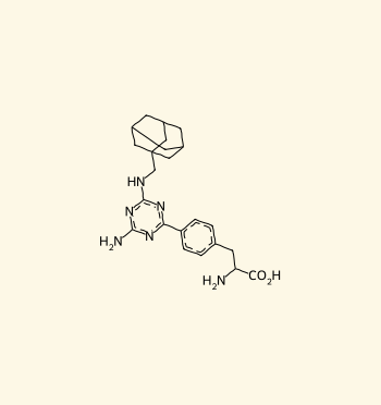 Nc1nc(NCC23CC4CC(CC(C4)C2)C3)nc(-c2ccc(CC(N)C(=O)O)cc2)n1